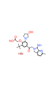 Br.Cc1ccc2c(n1)C(=N)N(CC(=O)c1cc(N3CCC(O)C3)c(OCC(=O)O)c(C(C)(C)C)c1)C2